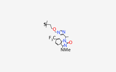 CNc1nc(=O)n(C(C)c2cn(COCC[Si](C)(C)C)cn2)c2cc(C(F)(F)F)ccc12